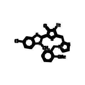 CCn1c(=O)/c(=C2\Sc3cc(Cl)ccc3N2C)s/c1=C\c1scc[n+]1Cc1ccccc1OC(C)=O